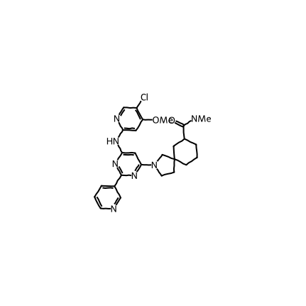 CNC(=O)C1CCCC2(CCN(c3cc(Nc4cc(OC)c(Cl)cn4)nc(-c4cccnc4)n3)C2)C1